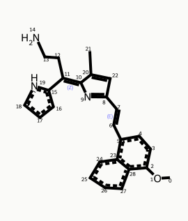 COc1ccc(/C=C/C2=NC(=C(/CCN)c3ccc[nH]3)/C(C)=C2)c2ccccc12